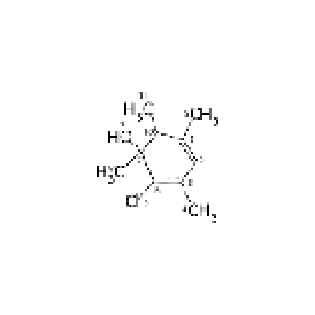 CC1=CC(C)=C(Cl)C(C)(O)C1C